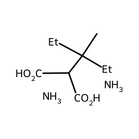 CCC(C)(CC)C(C(=O)O)C(=O)O.N.N